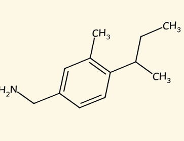 CCC(C)c1ccc(CN)cc1C